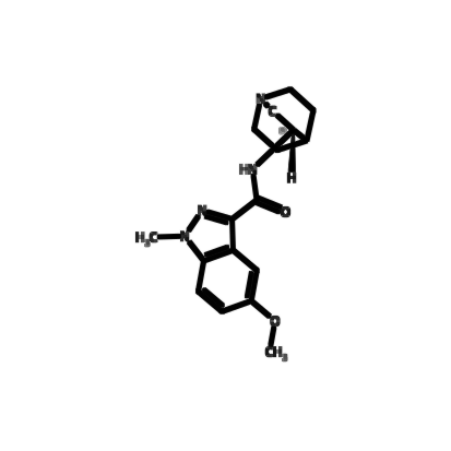 COc1ccc2c(c1)c(C(=O)N[C@@H]1CN3CCC1CC3)nn2C